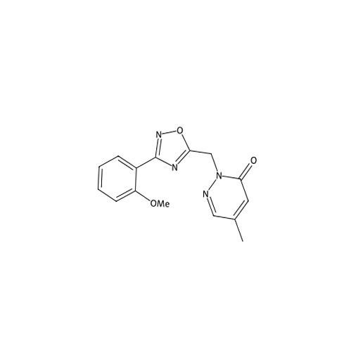 COc1ccccc1-c1noc(Cn2ncc(C)cc2=O)n1